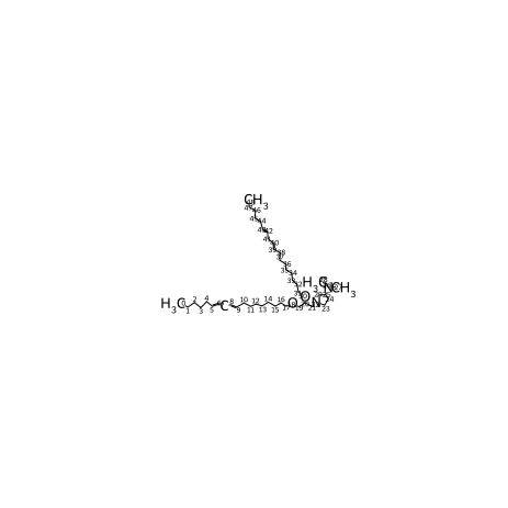 CCCCCC=CCC=CCCCCCCCCOCC(CN1CCC(N(C)C)C1)OCCCCCCCCC=CCC=CCCCCC